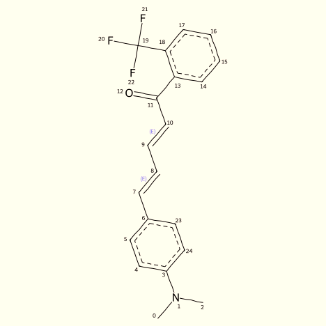 CN(C)c1ccc(/C=C/C=C/C(=O)c2ccccc2C(F)(F)F)cc1